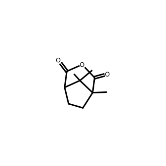 CC12CCC(C(=O)OC1=O)C2(C)C